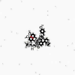 COc1ccc(CN(Cc2ccc(OC)cc2)S(=O)(=O)c2c(S(=O)(=O)CCNC(=O)OC(C)(C)C)ccc(-c3cccn4ccnc34)c2-c2nnn(Cc3ccc(OC)cc3)n2)cc1